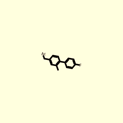 CC(=O)Cc1ccc(-c2ccc(F)cc2)c(C)c1